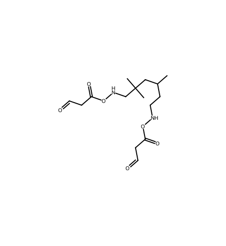 CC(CCNOC(=O)CC=O)CC(C)(C)CNOC(=O)CC=O